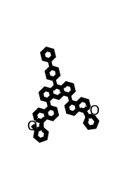 c1ccc(-c2ccc(-c3c4cccc(-c5cccc6c5ccc5oc7ccccc7c56)c4cc4c(-c5cccc6c5ccc5oc7ccccc7c56)cccc34)cc2)cc1